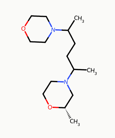 CC(CCC(C)N1CCO[C@@H](C)C1)N1CCOCC1